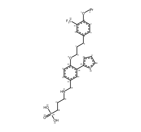 CC(C)Oc1ccc(CCCOc2ccc(CNCCCP(=O)(O)O)cc2-c2cccs2)cc1C(F)(F)F